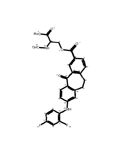 COC(=O)C(COC(=O)c1ccc2c(c1)C(=O)c1ccc(Nc3ccc(F)cc3F)cc1CC2)NC=O